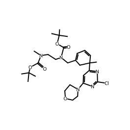 CN(CCN(CC1=CC=CC(C)(c2cc(N3CCOCC3)nc(Cl)n2)C1)C(=O)OC(C)(C)C)C(=O)OC(C)(C)C